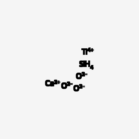 [Ca+2].[O-2].[O-2].[O-2].[SiH4].[Ti+4]